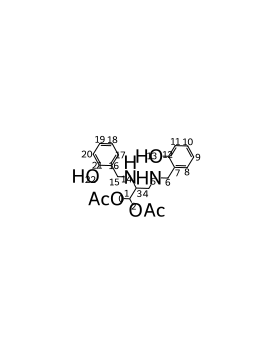 CC(=O)OC(OC(C)=O)C(CNCc1ccccc1O)NCc1ccccc1O